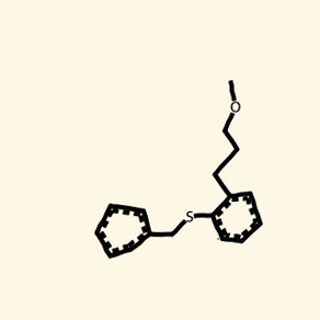 COCCCc1ccc[c]c1SCc1ccccc1